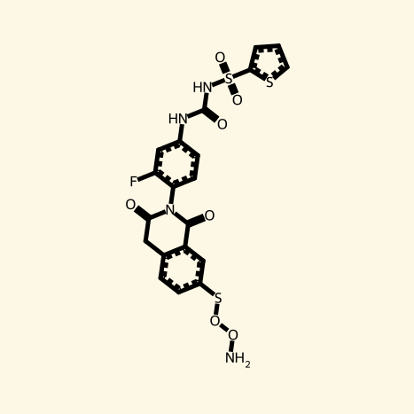 NOOSc1ccc2c(c1)C(=O)N(c1ccc(NC(=O)NS(=O)(=O)c3cccs3)cc1F)C(=O)C2